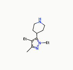 CCc1c(C)nn(CC)c1C1CCNCC1